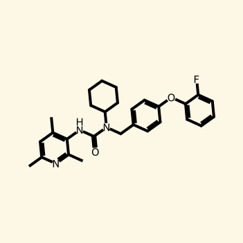 Cc1cc(C)c(NC(=O)N(Cc2ccc(Oc3ccccc3F)cc2)C2CCCCC2)c(C)n1